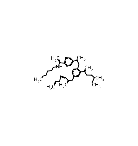 C=CC/C=C\C(=C)Cc1ccc(CC(=C)c2ccc(C(=C)NCCCCC=C)cc2)c(C(=C)CCC(C)CC)c1